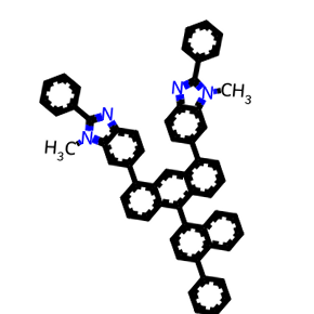 Cn1c(-c2ccccc2)nc2ccc(-c3cccc4c(-c5ccc(-c6ccccc6)c6ccccc56)c5cccc(-c6ccc7nc(-c8ccccc8)n(C)c7c6)c5cc34)cc21